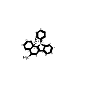 CC1=Cc2c(n(-c3ccccc3)c3ccccc23)C2(C)CC=CC=C12